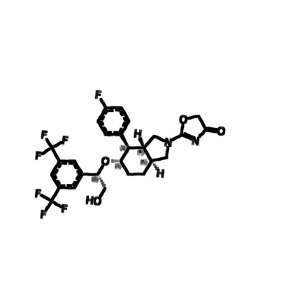 O=C1COC(N2C[C@H]3CC[C@H](O[C@H](CO)c4cc(C(F)(F)F)cc(C(F)(F)F)c4)[C@@H](c4ccc(F)cc4)[C@@H]3C2)=N1